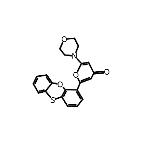 O=c1cc(-c2cccc3c2Oc2ccccc2S3)oc(N2CCOCC2)c1